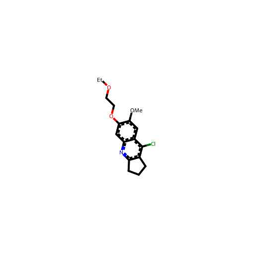 CCOCCOc1cc2nc3c(c(Cl)c2cc1OC)CCC3